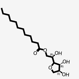 CCCCCCCCCCCC(=O)OC[C@@H](O)C1OC[C@H](O)[C@H]1O